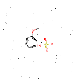 COc1ccccc1.O=S(=O)(O)O